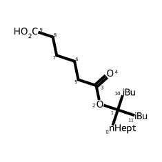 CCCCCCCC(OC(=O)CCCCC(=O)O)(C(C)CC)C(C)CC